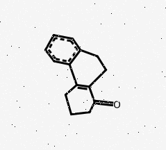 O=C1CCCC2=C1CCc1ccccc12